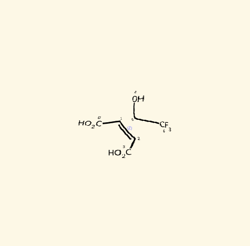 O=C(O)/C=C\C(=O)O.OCC(F)(F)F